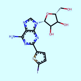 Nc1nc(-c2ccc(I)s2)nc2c1ncn2[C@@H]1O[C@H](CO)C(O)C1O